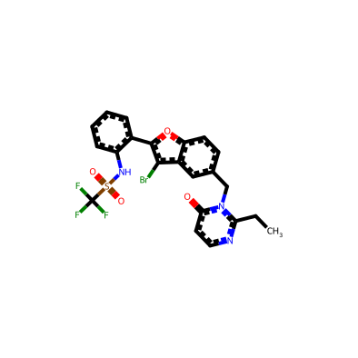 CCc1nccc(=O)n1Cc1ccc2oc(-c3ccccc3NS(=O)(=O)C(F)(F)F)c(Br)c2c1